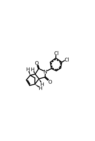 O=C1[C@@H]2[C@H](C(=O)N1c1ccc(Cl)c(Cl)c1)[C@@H]1C=C[C@H]2C1